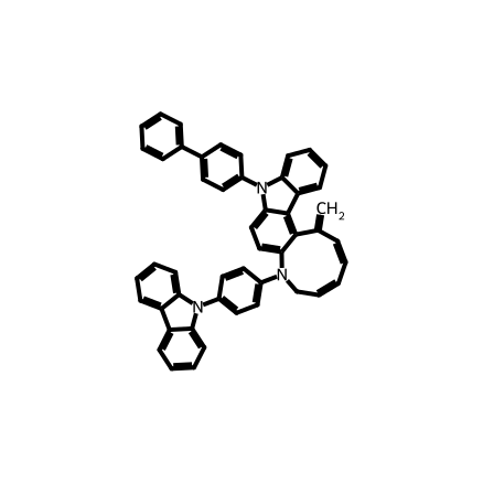 C=C1/C=C\C=C/CN(c2ccc(-n3c4ccccc4c4ccccc43)cc2)c2ccc3c(c21)c1ccccc1n3-c1ccc(-c2ccccc2)cc1